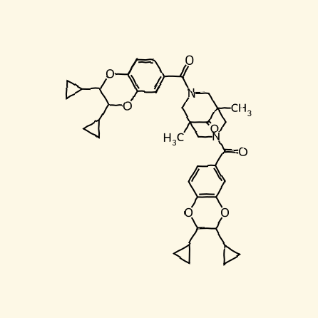 CC12CN(C(=O)c3ccc4c(c3)OC(C3CC3)C(C3CC3)O4)CC(C)(CN(C(=O)c3ccc4c(c3)OC(C3CC3)C(C3CC3)O4)C1)C2=O